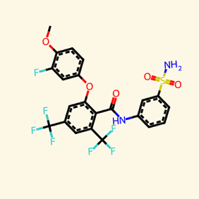 COc1ccc(Oc2cc(C(F)(F)F)cc(C(F)(F)F)c2C(=O)Nc2cccc(S(N)(=O)=O)c2)cc1F